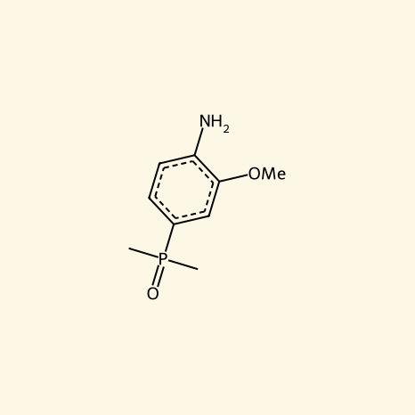 COc1cc(P(C)(C)=O)ccc1N